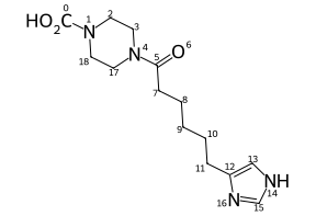 O=C(O)N1CCN(C(=O)CCCCCc2c[nH]cn2)CC1